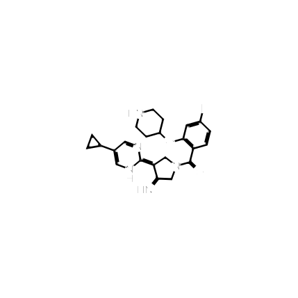 N=C1CN(C(=O)c2ccc(F)cc2OC2CCNCC2)C/C1=C1\N=CC(C2CC2)=CN1